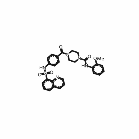 COc1ccccc1NC(=O)N1CCN(C(=O)c2ccc(NS(=O)(=O)c3cccc4cccnc34)cc2)CC1